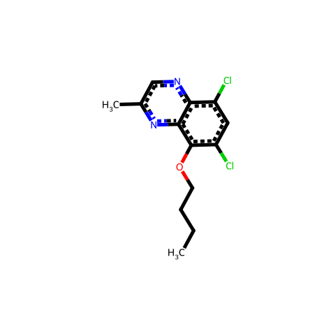 CCCCOc1c(Cl)cc(Cl)c2ncc(C)nc12